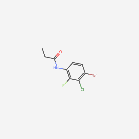 CCC(=O)Nc1ccc(Br)c(Cl)c1F